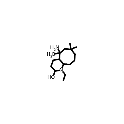 BC1(N)CC(C)(C)CCCC2C1CCC(O)N2CC